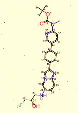 CN(C(=O)OC(C)(C)C)c1ccc(-c2ccc(-c3cn4cc(NCC(O)CF)ccc4n3)cc2)cn1